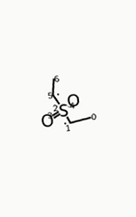 C[CH]S(=O)(=O)[CH]C